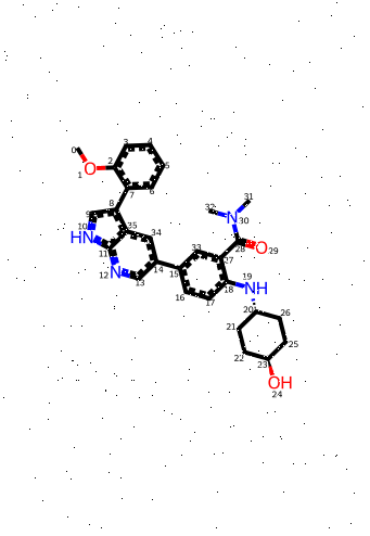 COc1ccccc1-c1c[nH]c2ncc(-c3ccc(N[C@H]4CC[C@H](O)CC4)c(C(=O)N(C)C)c3)cc12